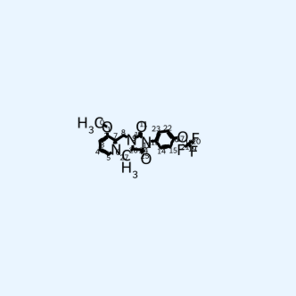 COc1cccnc1CN1C(=O)N(c2ccc(OC(F)(F)F)cc2)C(=O)C1C